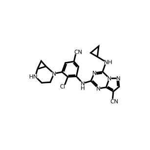 N#Cc1cc(Nc2nc(NC3CC3)n3ncc(C#N)c3n2)c(Cl)c(N2CCNC3CC32)c1